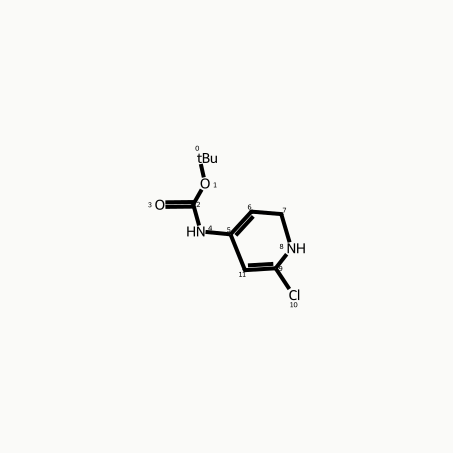 CC(C)(C)OC(=O)NC1=CCNC(Cl)=C1